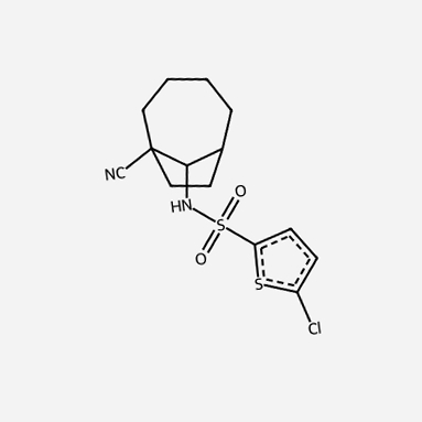 N#CC12CCCCC(CC1)C2NS(=O)(=O)c1ccc(Cl)s1